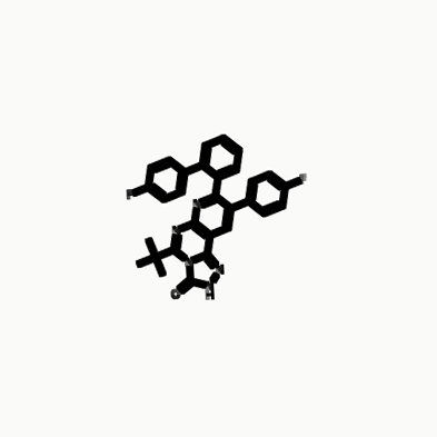 CC(C)(C)c1nc2nc(-c3ccccc3-c3ccc(F)cc3)c(-c3ccc(F)cc3)cc2c2n[nH]c(=O)n12